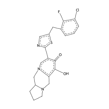 O=c1c(-c2ncc(Cc3cccc(Cl)c3F)s2)cn2c(c1O)CN1CCCC1C2